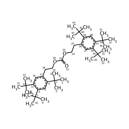 CC(C)(C)c1cc(C(C)(C)C)c(C(C)(C)C)cc1CCOC(=O)OCCc1cc(C(C)(C)C)c(C(C)(C)C)cc1C(C)(C)C